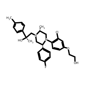 Cc1ccc([C@](C)(O)CN2C[C@@H](c3ccc(F)cc3)N(c3ccc(OCCO)cc3Cl)C[C@H]2C)cc1